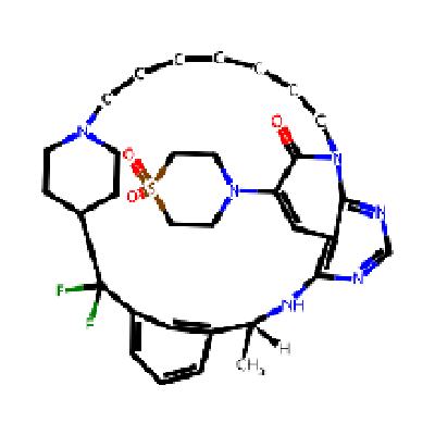 C[C@H]1Nc2ncnc3c2cc(N2CCS(=O)(=O)CC2)c(=O)n3CCCCCCCN2CCC(CC2)C(F)(F)c2cccc1c2